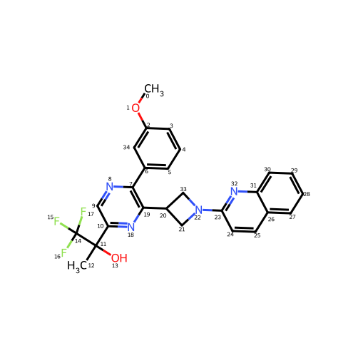 COc1cccc(-c2ncc(C(C)(O)C(F)(F)F)nc2C2CN(c3ccc4ccccc4n3)C2)c1